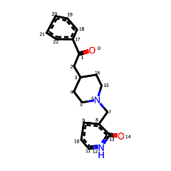 O=C(CC1CCN(Cc2ccc[nH]c2=O)CC1)c1ccccc1